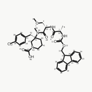 COC[C@H](NC(=O)[C@H](C)NC(=O)OCC1c2ccccc2-c2ccccc21)C(=O)N(C)[C@@]1(Cc2ccc(Cl)cc2)CCCN(C(=O)O)C1